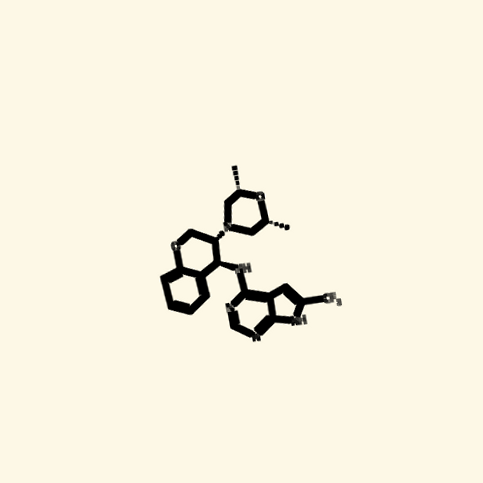 C[C@@H]1CN([C@H]2COc3ccccc3[C@@H]2Nc2ncnc3[nH]c(C(F)(F)F)cc23)C[C@H](C)O1